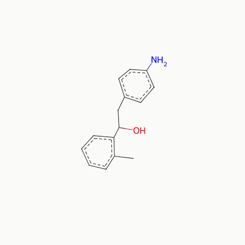 Cc1ccccc1C(O)Cc1ccc(N)cc1